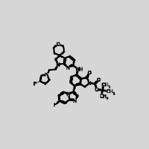 CC(C)(C)OC(=O)N1Cc2c(-c3cnc4cc(F)ccn34)ccc(Nc3ccc4c(n3)N(CCN3CC[C@H](F)C3)CC43CCOCC3)c2C1=O